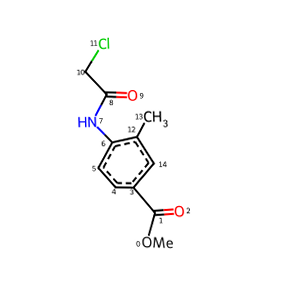 COC(=O)c1ccc(NC(=O)CCl)c(C)c1